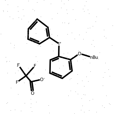 CCCCOc1ccccc1[I+]c1ccccc1.O=C([O-])C(F)(F)F